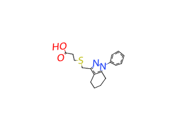 O=C(O)CCSCc1nn(-c2ccccc2)c2c1CCCC2